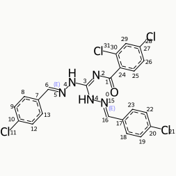 O=C(N=C(N/N=C/c1ccc(Cl)cc1)N/N=C/c1ccc(Cl)cc1)c1ccc(Cl)cc1Cl